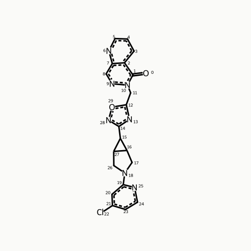 O=c1c2cccnc2cnn1Cc1nc(C2C3CN(c4cc(Cl)ccn4)CC32)no1